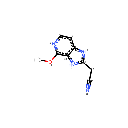 COc1nccc2nc(CC#N)[nH]c12